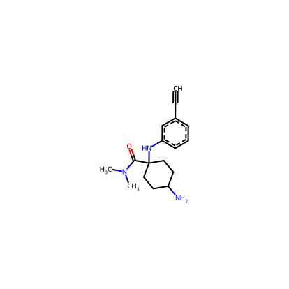 C#Cc1cccc(NC2(C(=O)N(C)C)CCC(N)CC2)c1